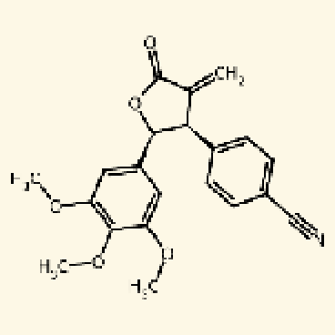 C=C1C(=O)O[C@H](c2cc(OC)c(OC)c(OC)c2)[C@@H]1c1ccc(C#N)cc1